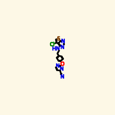 N#Cc1ccnc(Oc2ccc(CCNc3ncnc4scc(Cl)c34)cc2)n1